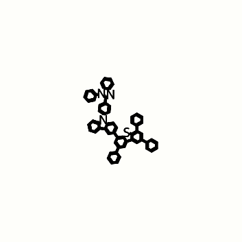 c1ccc(-c2cc(-c3ccccc3)c3sc4c(-c5ccc6c(c5)c5ccccc5n6-c5ccc(-c6nc7ccccc7n6-c6ccccc6)cc5)cc(-c5ccccc5)cc4c3c2)cc1